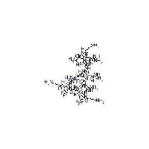 CC(C)(C)c1cc(NC(=O)CCCCN)c(SCCNC(=N)N)c(NC(=O)c2cc(C(=O)Nc3cc(C(C)(C)C/N=C(\N)NCCSc4c(NC(=O)CCCCN)cc(C(F)(F)F)cc4NC(=O)c4cc(C(=O)Nc5cc(C(F)(F)F)cc(NC(=O)CCCCN)c5SCCNC(=N)N)ncn4)cc(NC(=O)CCCCN)c3SCCNC(=N)N)ncn2)c1